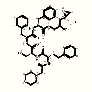 CC(C)C[C@H](NC(=O)[C@H](CCc1ccccc1)NC(=O)CN1CCOCC1)C(=O)N[C@@H](Cc1ccccc1)C(=O)N[C@@H](Cc1ccccc1)C(=O)NCC(C[C@]1(C=O)CO1)C(C)C